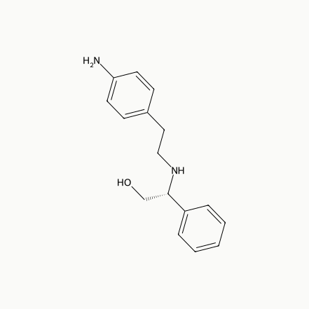 Nc1ccc(CCN[C@@H](CO)c2ccccc2)cc1